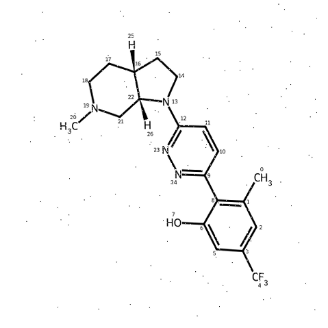 Cc1cc(C(F)(F)F)cc(O)c1-c1ccc(N2CC[C@H]3CCN(C)C[C@H]32)nn1